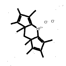 CC1=C(C)C2(C)CC3(C)C(C)=C(C)C(C)=[C]3[Hf+2][C]2=C1C.[Cl-].[Cl-]